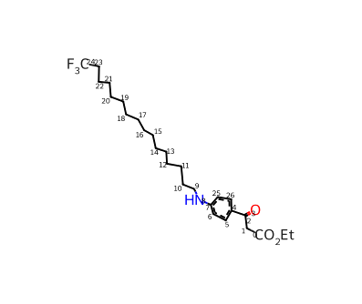 CCOC(=O)CC(=O)c1ccc(NCCCCCCCCCCCCCCCC(F)(F)F)cc1